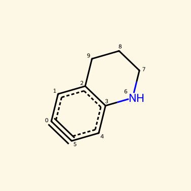 c1cc2c(cc#1)NCCC2